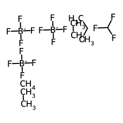 C.CC.CC.CCC.FC(F)F.F[B-](F)(F)F.F[B-](F)(F)F.F[B-](F)(F)F